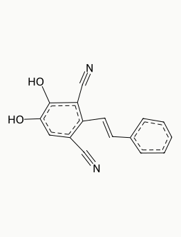 N#Cc1cc(O)c(O)c(C#N)c1C=Cc1ccccc1